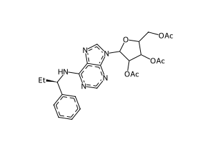 CC[C@@H](Nc1ncnc2c1ncn2C1OC(COC(C)=O)C(OC(C)=O)C1OC(C)=O)c1ccccc1